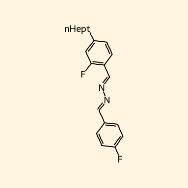 CCCCCCCc1ccc(/C=N/N=C/c2ccc(F)cc2)c(F)c1